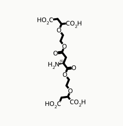 N[C@@H](CC(=O)OCCOC(CC(=O)O)C(=O)O)C(=O)OCCOC(CC(=O)O)C(=O)O